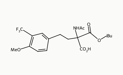 CCC(C)OC(=O)C(CCc1ccc(OC)c(C(F)(F)F)c1)(NC(C)=O)C(=O)O